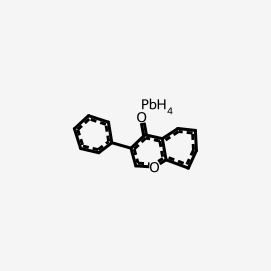 O=c1c(-c2ccccc2)coc2ccccc12.[PbH4]